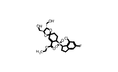 CCOC(=O)C1=CC2(CCC1S(=O)(=O)C1CCc3cc(F)cc(Cl)c31)O[C@@H](CO)[C@H](CO)O2